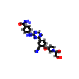 N#Cc1cc(-c2ncnc(Nc3ccc(C(N)=O)cc3)n2)ccc1OC1CCN(C(=O)CO)C1